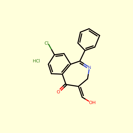 Cl.O=C1/C(=C/O)CN=C(c2ccccc2)c2cc(Cl)ccc21